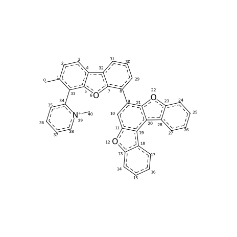 Cc1ccc2c(oc3c(-c4cc5oc6ccccc6c5c5c4oc4ccccc45)cccc32)c1-c1cccc[n+]1C